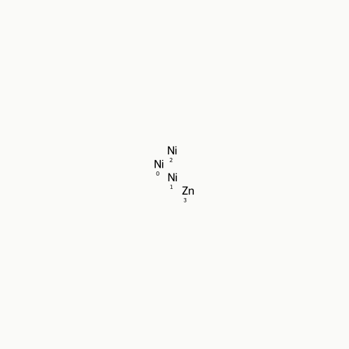 [Ni].[Ni].[Ni].[Zn]